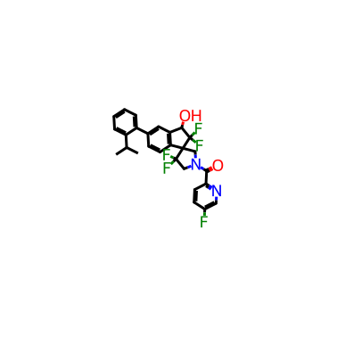 CC(C)c1ccccc1-c1ccc2c(c1)C(O)C(F)(F)C21CN(C(=O)c2ccc(F)cn2)CC1(F)F